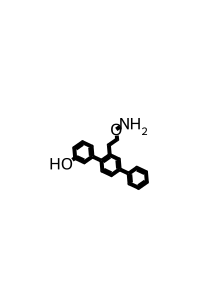 NOCCc1cc(-c2ccccc2)ccc1-c1cccc(O)c1